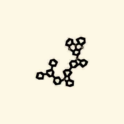 c1ccc(-c2cc(-c3ccccc3)cc(-c3cccc(-n4c5ccccc5c5cc(-c6ccc7c(c6)c6ccccc6n7-c6cc7c8c(c6)Oc6ccccc6N8c6ccccc6O7)ccc54)c3)c2)cc1